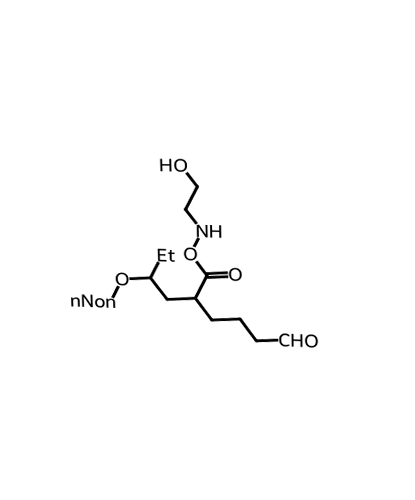 CCCCCCCCCOC(CC)CC(CCCC=O)C(=O)ONCCO